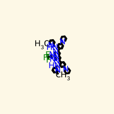 Cc1cccc(Nc2cc(N3CCCCC3)ccc2C2=CC3=CC(c4ccc(N5CCCCC5)cc4Nc4cccc(C)n4)=NC4=NC(C(F)(F)F)=NC(=N2)N34)n1